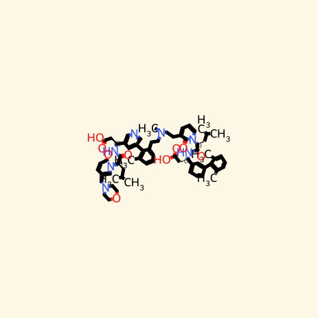 Cc1cccc(C)c1-c1cccc([C@H](CC(=O)O)NC(=O)[C@@H](CC(C)C)n2cccc(CCN(C)CCc3cccc(C)c3-c3cncc([C@H](CC(=O)O)NC(=O)[C@@H](CC(C)C)n4cc(CN5CCOCC5)ccc4=O)c3)c2=O)c1